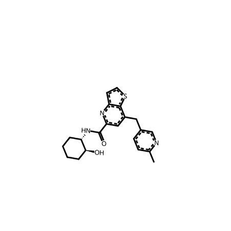 Cc1ccc(Cc2cc(C(=O)N[C@H]3CCCC[C@@H]3O)nc3ccsc23)cn1